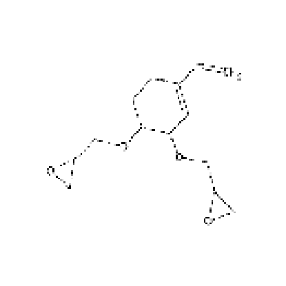 C=CC1=CC(OCC2CO2)C(OCC2CO2)CC1